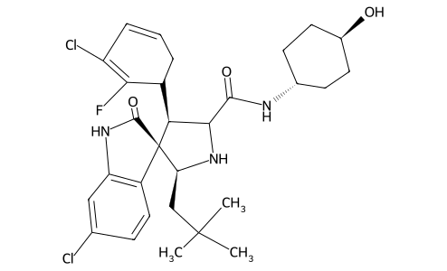 CC(C)(C)C[C@@H]1NC(C(=O)N[C@H]2CC[C@H](O)CC2)[C@H](C2CC=CC(Cl)=C2F)[C@]12C(=O)Nc1cc(Cl)ccc12